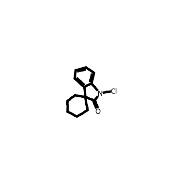 O=C1N(Cl)c2ccccc2C12CCCCC2